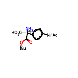 CC(=O)Nc1ccc([C@@](N)(C(=O)O)C(=O)OC(C)(C)C)cc1